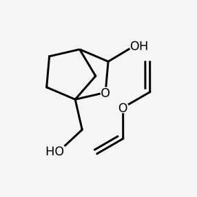 C=COC=C.OCC12CCC(C1)C(O)O2